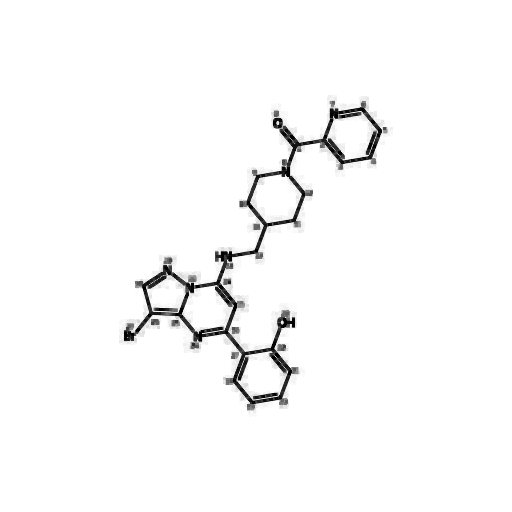 O=C(c1ccccn1)N1CCC(CNc2cc(-c3ccccc3O)nc3c(Br)cnn23)CC1